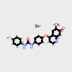 N#Cc1cc2c(Oc3ccc(NC(=O)Nc4ccc(F)cc4)cc3)ccnc2cc1[O-].[Na+]